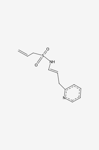 C=CCS(=O)(=O)NC=CCc1ccccn1